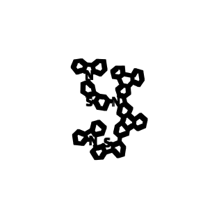 c1cc(-c2ccc3c(c2)c2ccccc2c2cc4c5cc6c7ccccc7c7ccccc7c6cc5n(-c5ccc6sc7ccc(-n8c9ccccc9c9ccccc98)cc7c6c5)c4cc32)c2sc3c(-n4c5ccccc5c5ccccc54)cccc3c2c1